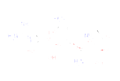 C[C@@H](O)C1O[C@H](O[C@@H]2C(N)C[C@@H](N)[C@@H](O)C2O[C@@H]2O[C@H](CNC(=N)N)C(O)C2O)C(N)C(O)[C@@H]1O